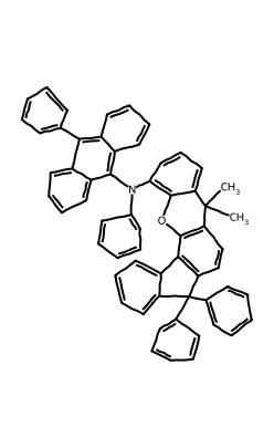 CC1(C)c2cccc(N(c3ccccc3)c3c4ccccc4c(-c4ccccc4)c4ccccc34)c2Oc2c1ccc1c2-c2ccccc2C1(c1ccccc1)c1ccccc1